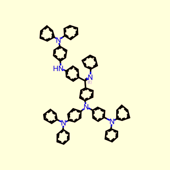 c1ccc(/N=C(\c2ccc(Nc3ccc(N(c4ccccc4)c4ccccc4)cc3)cc2)c2ccc(N(c3ccc(N(c4ccccc4)c4ccccc4)cc3)c3ccc(N(c4ccccc4)c4ccccc4)cc3)cc2)cc1